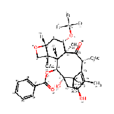 CC[Si](CC)(CC)O[C@H]1C[C@H]2OC[C@@]2(OC(C)=O)[C@H]2[C@H](OC(=O)c3ccccc3)[C@]3(O)C[C@H](O)C(C)=C([C@@H](OC(C)=O)C(=O)[C@]12C)C3(C)C